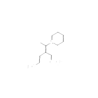 C[C](C(CCO)CC(=O)O)N1CCCCC1